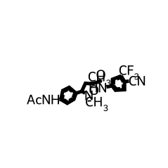 CC(=O)Nc1ccc(C2CC(C)(C(=O)Nc3ccc(C#N)c(C(F)(F)F)c3)ON2C)cc1